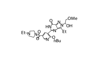 CCCCOc1ncc(S(=O)(=O)N2CCN(CC)CC2)cc1-c1nc2c(CC)n(C(O)COC)nc2c(=O)[nH]1